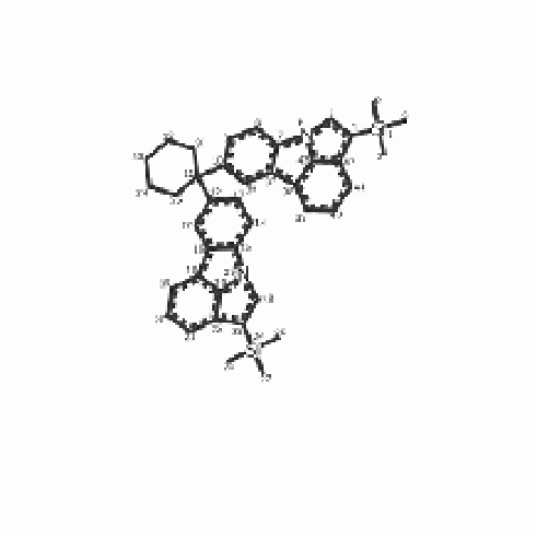 C[Si](C)(C)c1cn2c3ccc(C4(c5ccc6c(c5)c5cccc7c([Si](C)(C)C)cn6c75)CCCCC4)cc3c3cccc1c32